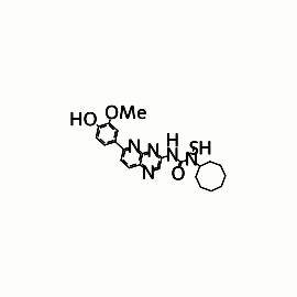 COc1cc(-c2ccc3ncc(NC(=O)N(S)C4CCCCCCC4)nc3n2)ccc1O